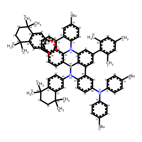 Cc1cc(C)c(-c2cc3c4c(c2)N(c2ccc(C(C)(C)C)cc2-c2ccccc2)c2c(ccc5c2oc2cc6c(cc25)C(C)(C)CCC6(C)C)B4N(c2ccc4c(c2)C(C)(C)CCC4(C)C)c2ccc(N(c4ccc(C(C)(C)C)cc4)c4ccc(C(C)(C)C)cc4)cc2-3)c(C)c1